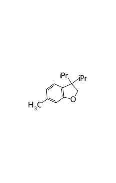 Cc1ccc2c(c1)OCC2(C(C)C)C(C)C